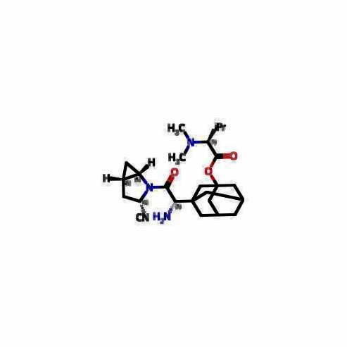 CC(C)[C@@H](C(=O)OC12CC3CC(C1)CC([C@H](N)C(=O)N1[C@H](C#N)C[C@@H]4C[C@@H]41)(C3)C2)N(C)C